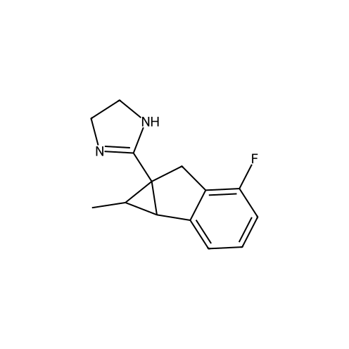 CC1C2c3cccc(F)c3CC12C1=NCCN1